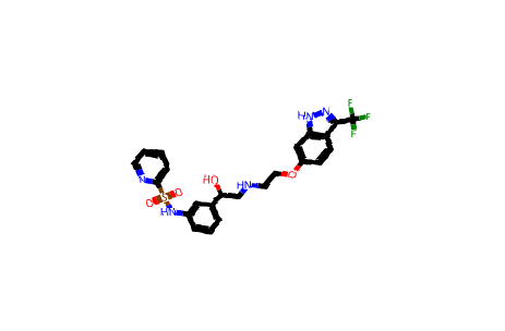 O=S(=O)(Nc1cccc(C(O)CNCCOc2ccc3c(C(F)(F)F)n[nH]c3c2)c1)c1ccccn1